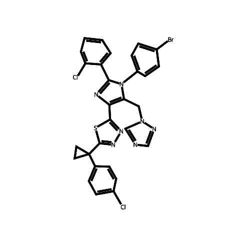 Clc1ccc(C2(c3nnc(-c4nc(-c5ccccc5Cl)n(-c5ccc(Br)cc5)c4Cn4cncn4)s3)CC2)cc1